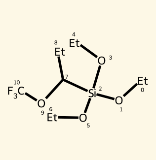 CCO[Si](OCC)(OCC)C(CC)OC(F)(F)F